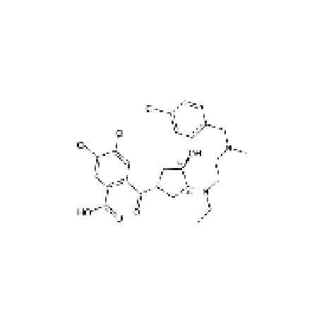 CCN(CCN(C)Cc1ccc(Cl)cc1)[C@@H]1CN(C(=O)c2cc(Cl)c(Cl)cc2C(=O)O)C[C@H]1O